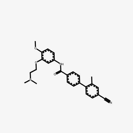 COc1ccc(NC(=O)c2ccc(-c3ccc(C#N)cc3C)cc2)cc1OCCN(C)C